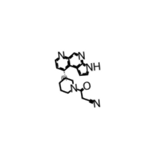 N#CCC(=O)N1CCC[C@H](c2ccnc3cnc4[nH]ccc4c23)C1